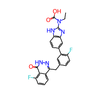 CCN(C(=O)O)c1nc2cc(-c3cc(Cc4n[nH]c(=O)c5c(F)cccc45)ccc3F)ccc2[nH]1